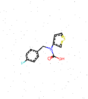 O=C(O)N(Cc1ccc(F)cc1)c1ccsc1